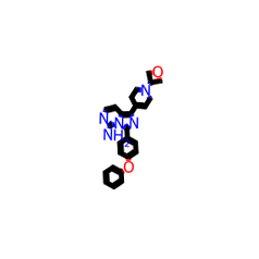 Nc1nccc2c(C3=CCN(C4COC4)CC3)nc(-c3ccc(Oc4ccccc4)cc3)n12